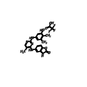 Cc1cnc(Nc2cc(C)c(C)c(O)c2)nc1Nc1ccc2oc(=O)[nH]c2c1.O=C(O)C(F)(F)F